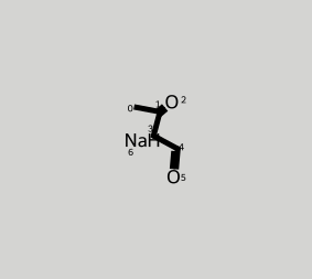 CC(=O)CC=O.[NaH]